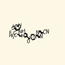 CC(Cn1ccc(C(=O)N2CCN(c3cnc(C#N)cn3)CC2)c1)Nc1cn[nH]c(=O)c1C(F)(F)F